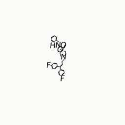 C#CC1(OC(=O)NCc2ccccc2)CCN(CCC=C(c2ccc(F)cc2)c2ccc(F)cc2)CC1